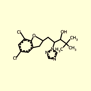 CC(C)(C)C(O)C(CC1Cc2cc(Cl)cc(Cl)c2O1)n1cncn1